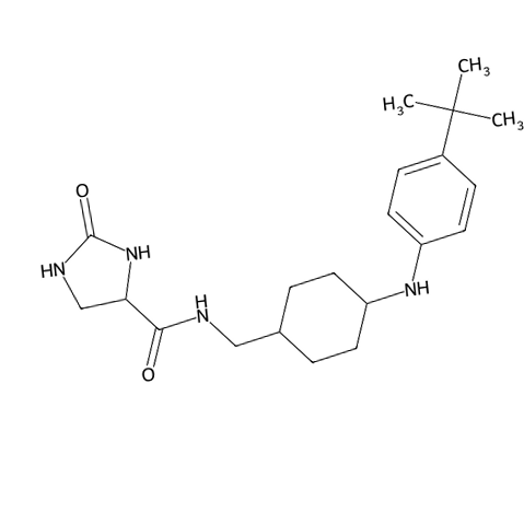 CC(C)(C)c1ccc(NC2CCC(CNC(=O)C3CNC(=O)N3)CC2)cc1